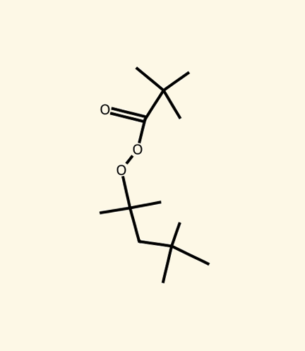 CC(C)(C)CC(C)(C)OOC(=O)C(C)(C)C